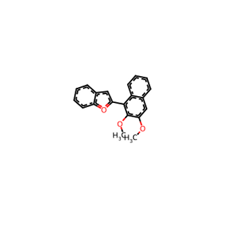 COc1cc2ccccc2c(-c2cc3ccccc3o2)c1OC